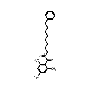 Cc1cc(C)c(C(=O)[PH](=O)CCCCCCCCc2ccccc2)c(C)c1